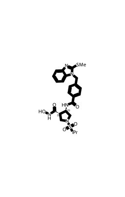 CSc1nc2ccccc2n1Cc1ccc(C(=O)N[C@@H]2CN(S(=O)(=O)C(C)C)C[C@@H]2C(=O)NO)cc1